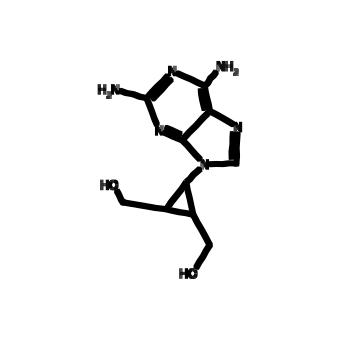 Nc1nc(N)c2ncn(C3C(CO)C3CO)c2n1